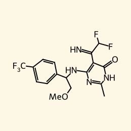 COCC(Nc1nc(C)[nH]c(=O)c1C(=N)C(F)F)c1ccc(C(F)(F)F)cc1